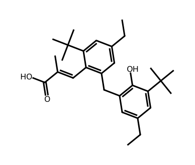 CCc1cc(Cc2cc(CC)cc(C(C)(C)C)c2/C=C(\C)C(=O)O)c(O)c(C(C)(C)C)c1